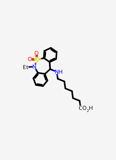 CCN1c2ccccc2C(NCCCCCCC(=O)O)c2ccccc2S1(=O)=O